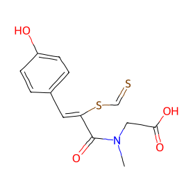 CN(CC(=O)O)C(=O)/C(=C/c1ccc(O)cc1)SC=S